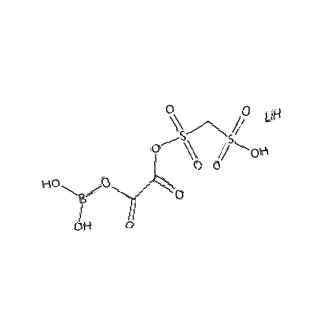 O=C(OB(O)O)C(=O)OS(=O)(=O)CS(=O)(=O)O.[LiH]